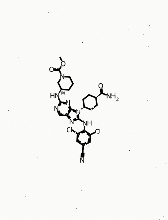 COC(=O)N1CCC[C@@H](Nc2ncc3nc(Nc4c(Cl)cc(C#N)cc4Cl)n([C@H]4CC[C@H](C(N)=O)CC4)c3n2)C1